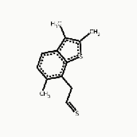 Cc1ccc2c(C)c(C)sc2c1CC=S